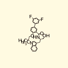 CCCOc1ccc(-c2cc(F)cc(F)c2)cc1C(=O)N[C@@H](CO)Cc1cn(C)c2ccccc12